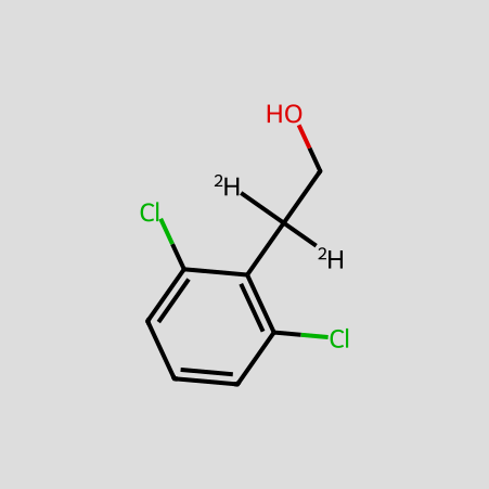 [2H]C([2H])(CO)c1c(Cl)cccc1Cl